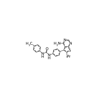 Cc1ccc(NC(=O)Nc2ccc(-c3c(C(C)C)sc4ncnc(N)c34)cc2)cc1